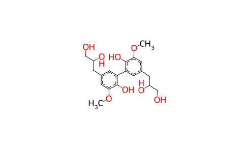 COc1cc(CC(O)CO)cc(-c2cc(CC(O)CO)cc(OC)c2O)c1O